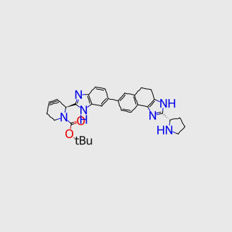 CC(C)(C)OC(=O)N1CCC#C[C@H]1c1nc2ccc(-c3ccc4c(c3)CCc3[nH]c([C@@H]5CCCN5)nc3-4)cc2[nH]1